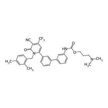 Cc1ccc(Cn2c(-c3cccc(-c4cccc(NC(=O)OCCCN(C)C)c4)c3)cc(C(F)(F)F)c(C#N)c2=O)c(C)c1